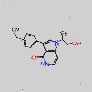 CCC(CO)n1cc(-c2ccc(CC#N)cc2)c2c(=O)[nH]ccc21